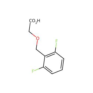 O=C(O)COCc1c(F)cccc1F